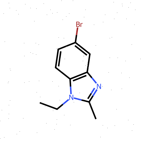 CCn1c(C)nc2cc(Br)ccc21